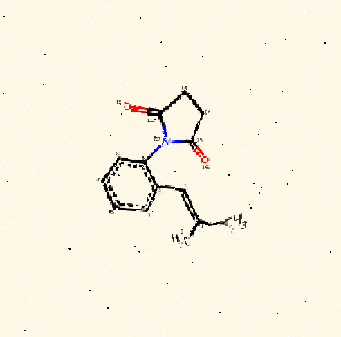 CC(C)=Cc1ccc[c]c1N1C(=O)CCC1=O